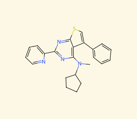 CN(c1nc(-c2ccccn2)nc2scc(-c3ccccc3)c12)C1CCCC1